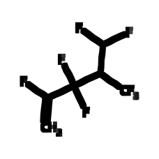 C=C(F)C(F)(F)C(C(F)F)C(F)(F)F